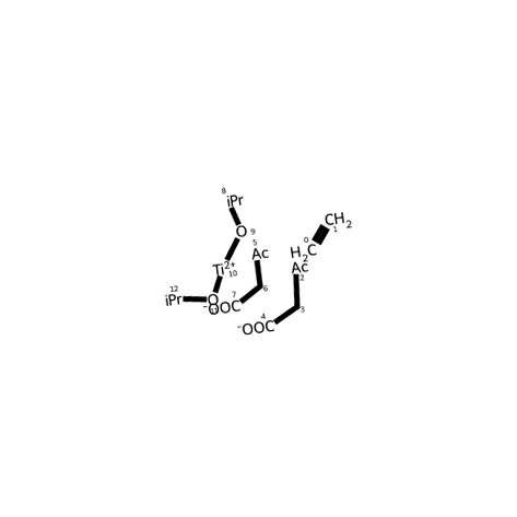 C=C.CC(=O)CC(=O)[O-].CC(=O)CC(=O)[O-].CC(C)[O][Ti+2][O]C(C)C